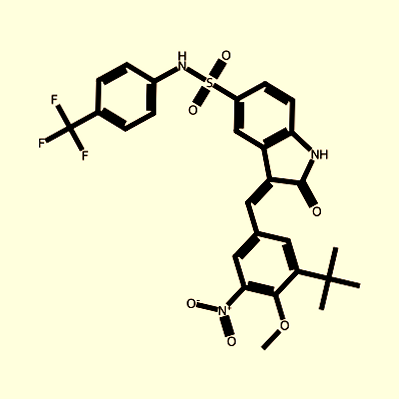 COc1c([N+](=O)[O-])cc(C=C2C(=O)Nc3ccc(S(=O)(=O)Nc4ccc(C(F)(F)F)cc4)cc32)cc1C(C)(C)C